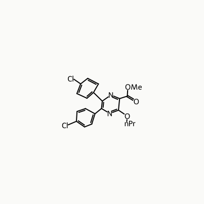 CCCOc1nc(-c2ccc(Cl)cc2)c(-c2ccc(Cl)cc2)nc1C(=O)OC